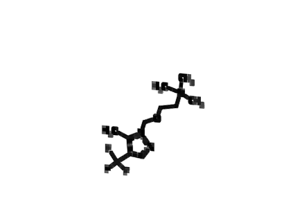 Cc1c(C(F)(F)F)cnn1COCC[Si](C)(C)C